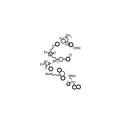 CCN(CC)C(=O)[C@]1(c2ccccc2)C[C@@H]1CN.CCc1nn(CCCN2CCN(c3cccc(Cl)c3)CC2)c(=O)n1CCOc1ccccc1.CNCCCN1c2ccccc2CCc2ccccc21.CNCC[C@H](Oc1cccc2ccccc12)c1cccs1.COc1ccc(C(CN(C)C)C2(O)CCCCC2)cc1